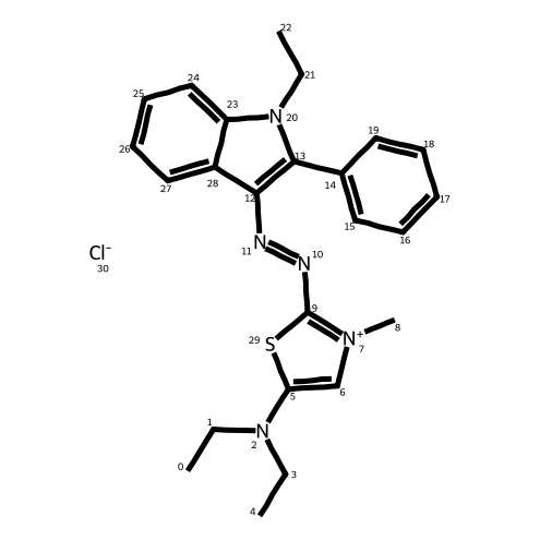 CCN(CC)c1c[n+](C)c(/N=N/c2c(-c3ccccc3)n(CC)c3ccccc23)s1.[Cl-]